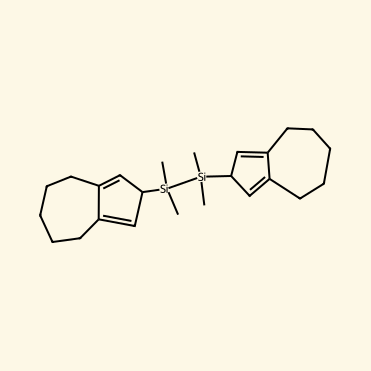 C[Si](C)(C1C=C2CCCCCC2=C1)[Si](C)(C)C1C=C2CCCCCC2=C1